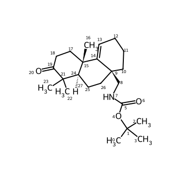 CC(C)(C)OC(=O)NC[C@]12CCCC=C1[C@@]1(C)CCC(=O)C(C)(C)[C@@H]1CC2